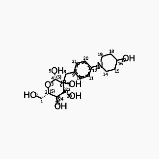 OC[C@@H]1O[C@H](O)[C@](O)(Cc2ccc(N3CCC(O)CC3)cc2)[C@H](O)[C@H]1O